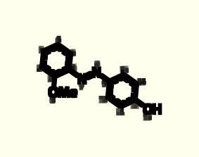 COc1ccccc1/N=N/c1ccc(O)cc1